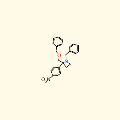 O=[N+]([O-])c1ccc(C2(COCc3ccccc3)CCN2Cc2ccccc2)cc1